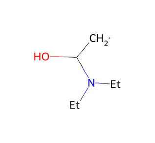 [CH2]C(O)N(CC)CC